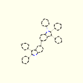 c1ccc(-c2[nH]c3ccc(-c4ccc5c(c4)c(-c4ccccc4)c(-c4ccccc4)n5-c4ccccc4)cc3c2-c2ccccc2)cc1